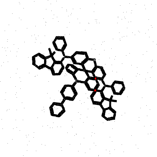 CC1(C)c2ccccc2-c2cccc(B(c3ccccc3)c3ccc4c(c3)C3(c5cc(B(c6ccccc6)c6cccc7c6C(C)(C)c6ccccc6-7)ccc5O4)c4ccccc4N(c4ccc(-c5ccccc5)cc4)c4ccccc43)c21